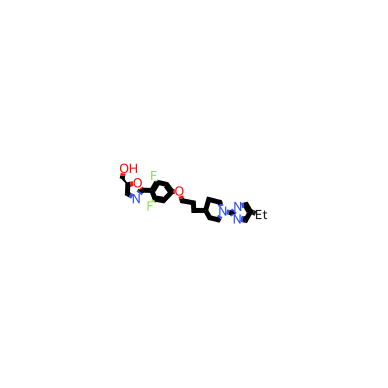 CCc1cnc(N2CCC(CCCOc3cc(F)c(C4=NC[C@@H](CO)O4)c(F)c3)CC2)nc1